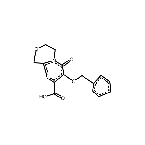 O=C(O)c1nc2n(c(=O)c1OCc1ccccc1)CCOC2